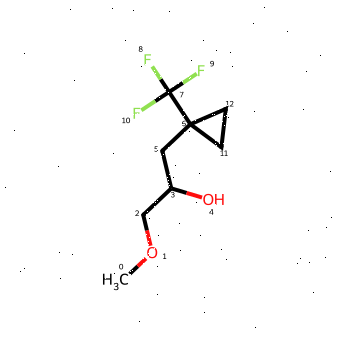 COCC(O)CC1(C(F)(F)F)CC1